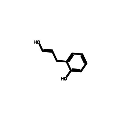 OC=CCc1ccccc1O